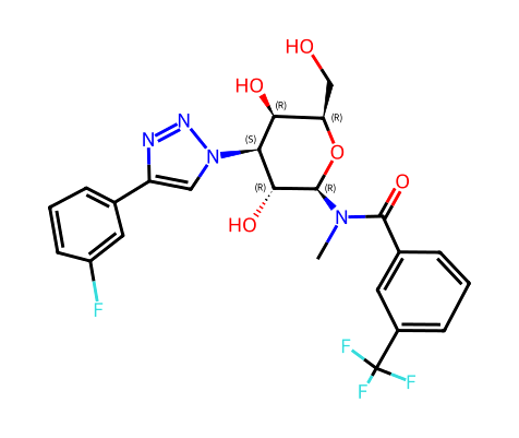 CN(C(=O)c1cccc(C(F)(F)F)c1)[C@@H]1O[C@H](CO)[C@H](O)[C@H](n2cc(-c3cccc(F)c3)nn2)[C@H]1O